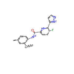 COc1cc(C)ccc1NC(=O)c1ccc(F)c(-c2ccn[nH]2)n1